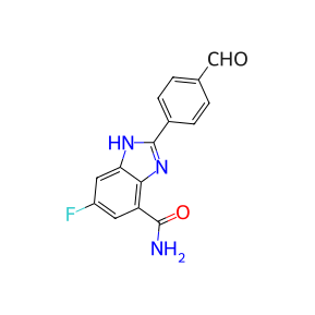 NC(=O)c1cc(F)cc2[nH]c(-c3ccc(C=O)cc3)nc12